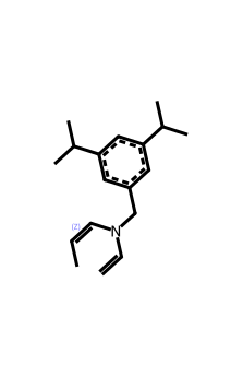 C=CN(/C=C\C)Cc1cc(C(C)C)cc(C(C)C)c1